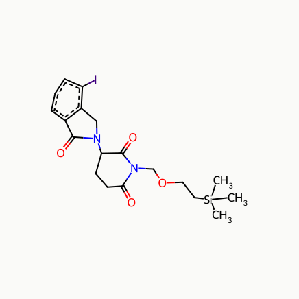 C[Si](C)(C)CCOCN1C(=O)CCC(N2Cc3c(I)cccc3C2=O)C1=O